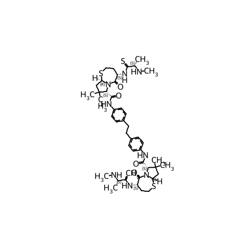 C=C(N[C@H]1CCS[C@H]2CC(C)(C)[C@@H](C(=O)Nc3ccc(CCc4ccc(NC(=O)[C@H]5N6C(=O)[C@@H](NC(=S)[C@H](C)NC)CCS[C@@H]6CC5(C)C)cc4)cc3)N2C1=O)[C@H](C)NC